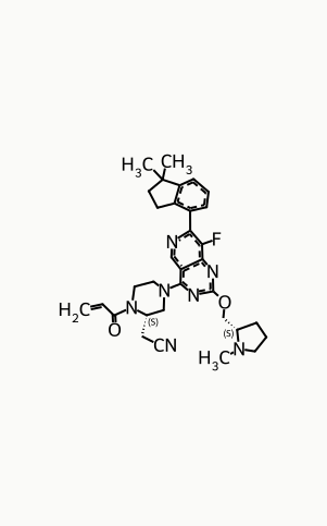 C=CC(=O)N1CCN(c2nc(OC[C@@H]3CCCN3C)nc3c(F)c(-c4cccc5c4CCC5(C)C)ncc23)C[C@@H]1CC#N